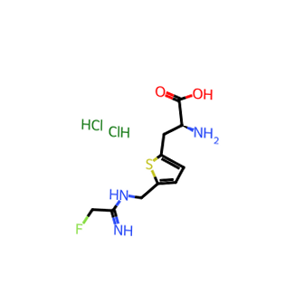 Cl.Cl.N=C(CF)NCc1ccc(C[C@H](N)C(=O)O)s1